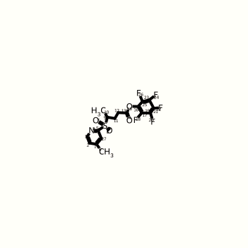 Cc1ccnc(S(=O)(=O)C(C)CCC(=O)Oc2c(F)c(F)c(F)c(F)c2F)c1